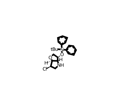 CC(C)(C)[Si](O[C@H]1CO[C@H]2[C@@H]1NC[C@H]2Cl)(c1ccccc1)c1ccccc1